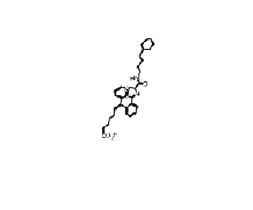 O=C(O)CCCCC=C(c1cccnc1)c1ccccc1C1=NC(C(=O)NCCCCC2CCCCC2)CO1